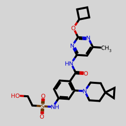 Cc1cc(NC(=O)c2ccc(NS(=O)(=O)CCO)cc2N2CCC3(CC2)CC3)nc(OC2CCC2)n1